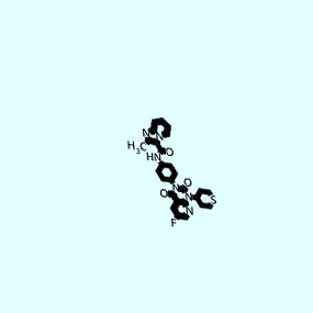 Cc1nc2ccccn2c1C(=O)NC1CCC(n2c(=O)c3cc(F)cnc3n(C3CCSCC3)c2=O)CC1